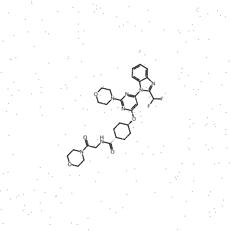 O=C(CNC(=O)[C@H]1CC[C@H](Oc2cc(-n3c(C(F)F)nc4ccccc43)nc(N3CCOCC3)n2)CC1)N1CCOCC1